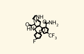 NC(=O)c1cc(C(F)(F)F)cc(F)c1C1=C2C(c3cc(F)ccc3Cl)NC(=O)C2N2C=CNC2=C1